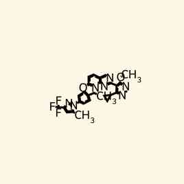 COc1ncnc(C2CC2)c1-c1ncc2ccc(=O)n(C(C)c3ccc(-n4nc(C(F)(F)F)cc4C)cc3)c2n1